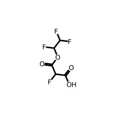 O=C(O)C(F)C(=O)OC(F)C(F)F